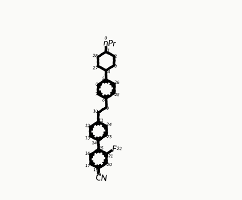 CCCC1CCC(c2ccc(CCc3ccc(-c4ccc(C#N)cc4F)cc3)cc2)CC1